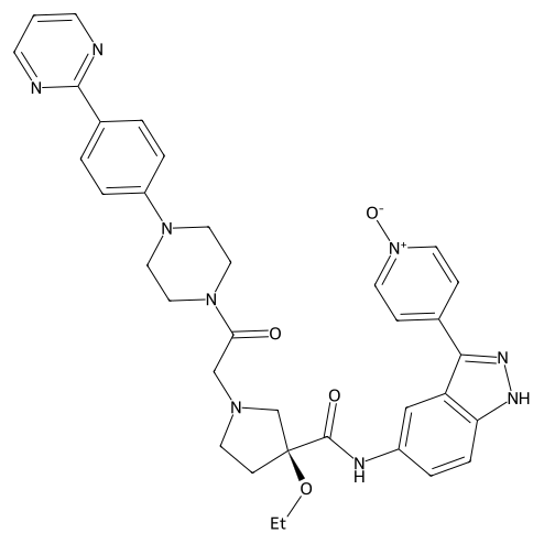 CCO[C@@]1(C(=O)Nc2ccc3[nH]nc(-c4cc[n+]([O-])cc4)c3c2)CCN(CC(=O)N2CCN(c3ccc(-c4ncccn4)cc3)CC2)C1